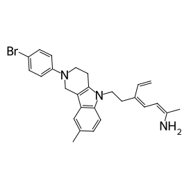 C=C/C(=C\C=C(\C)N)CCn1c2c(c3cc(C)ccc31)CN(c1ccc(Br)cc1)CC2